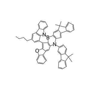 CCCCc1cc2c3c(c1)c1ccccc1n3B1c3cc4c(cc3N(c3ccc5c(c3)-c3ccccc3C5(C)C)c3cc5c(oc6ccccc65)c-2c31)-c1ccccc1C4(C)C